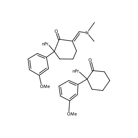 CCCC1(c2cccc(OC)c2)CCCC(=CN(C)C)C1=O.CCCC1(c2cccc(OC)c2)CCCCC1=O